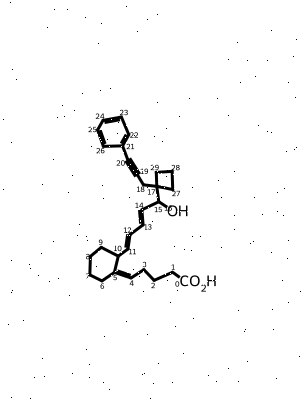 O=C(O)CCC/C=C1/CCCCC1/C=C/C=C/C(O)C1(CC#Cc2ccccc2)CCC1